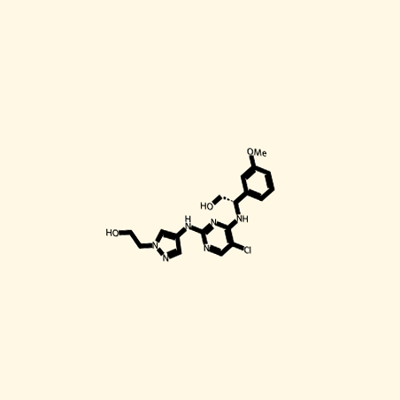 COc1cccc([C@@H](CO)Nc2nc(Nc3cnn(CCO)c3)ncc2Cl)c1